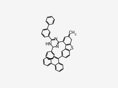 C=C1C=C(C2=NC(c3ccccc3)NC(c3cccc(-c4ccccc4)c3)=N2)c2c(sc3ccc(-c4cc5ccccc5c5ccccc45)cc23)C1